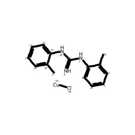 Cc1ccccc1NC(=N)Nc1ccccc1C.[Cl][Cu]